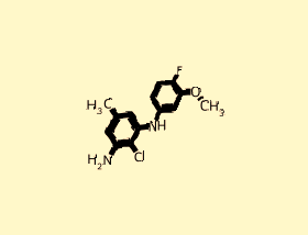 COc1cc(Nc2cc(C)cc(N)c2Cl)ccc1F